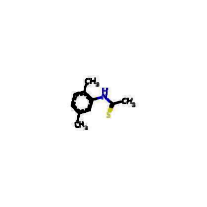 CC(=S)Nc1cc(C)ccc1C